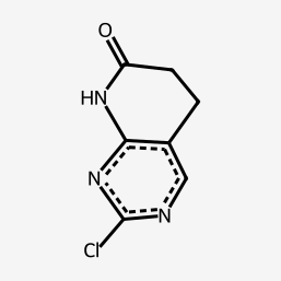 O=C1CCc2cnc(Cl)nc2N1